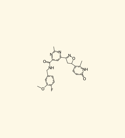 COc1cc(CNC(=O)c2cc(C3=NOC(c4ccc(=O)[nH]c4C)C3)nc(C)n2)ccc1F